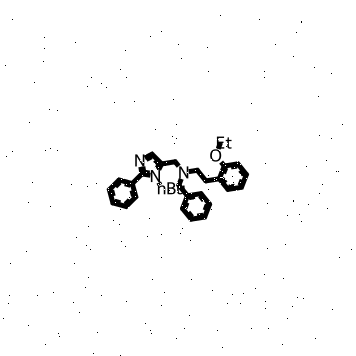 CCCCn1c(CN(CCc2ccccc2OCC)Cc2ccccc2)cnc1-c1ccccc1